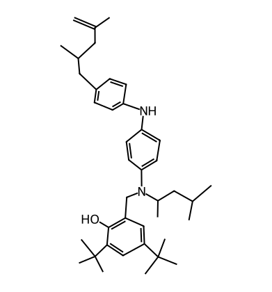 C=C(C)CC(C)Cc1ccc(Nc2ccc(N(Cc3cc(C(C)(C)C)cc(C(C)(C)C)c3O)C(C)CC(C)C)cc2)cc1